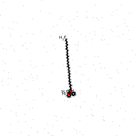 CCCCCCC/C=C/CCCC/C=C/CCCCCCCCCCCCCCCCCCCCCCO[Si](c1ccccc1)(c1ccccc1)C(C)(C)C